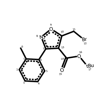 Cc1ccccc1-c1noc(CBr)c1C(=O)OC(C)(C)C